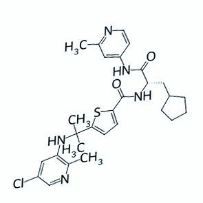 Cc1cc(NC(=O)[C@H](CC2CCCC2)NC(=O)c2ccc(C(C)(C)Nc3cc(Cl)cnc3C)s2)ccn1